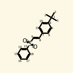 CC(C)(C)c1ccc(C=CS(=O)(=O)c2ccccc2)cc1